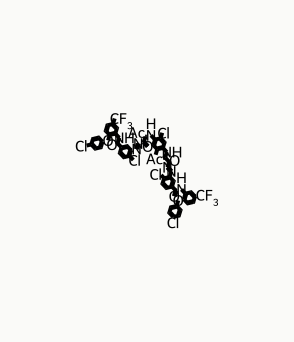 CC(=O)C(Nc1cc(Cl)c(NC(C(C)=O)C(=O)N=Nc2cc(C(=O)Nc3cc(C(F)(F)F)ccc3Oc3ccc(Cl)cc3)ccc2Cl)cc1C)C(=O)N=Nc1cc(C(=O)Nc2cc(C(F)(F)F)ccc2Oc2ccc(Cl)cc2)ccc1Cl